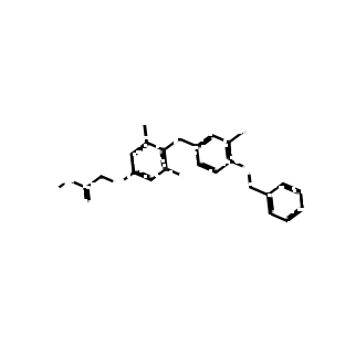 Cc1cc(OCC(=O)NO)cc(C)c1Cc1ccc(OCc2ccccc2)c(C(C)C)c1